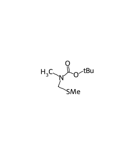 CSCN(C)C(=O)OC(C)(C)C